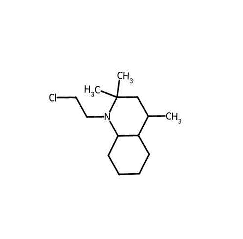 CC1CC(C)(C)N(CCCl)C2CCCCC12